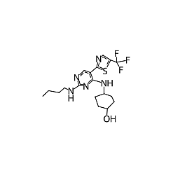 CCCCNc1ncc(-c2ncc(C(F)(F)F)s2)c(NC2CCC(O)CC2)n1